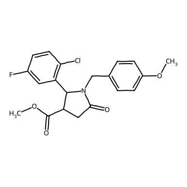 COC(=O)C1CC(=O)N(Cc2ccc(OC)cc2)C1c1cc(F)ccc1Cl